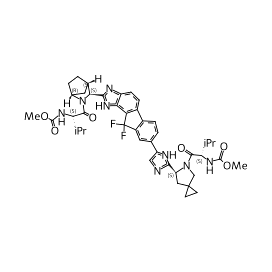 COC(=O)N[C@H](C(=O)N1CC2(CC2)C[C@H]1c1ncc(-c2ccc3c(c2)C(F)(F)c2c-3ccc3nc([C@@H]4[C@H]5CC[C@H](C5)N4C(=O)[C@@H](NC(=O)OC)C(C)C)[nH]c23)[nH]1)C(C)C